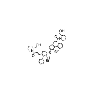 O=C(/C=C/c1ccc(Sc2ccc(/C=C/C(=O)N3CCCCC3CO)c(-c3ccccc3Br)c2Cl)c(Cl)c1-c1ccccc1Br)N1CCCCC1CO